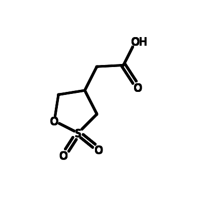 O=C(O)CC1COS(=O)(=O)C1